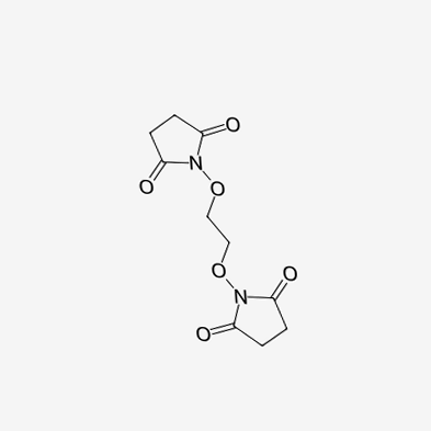 O=C1CCC(=O)N1OCCON1C(=O)CCC1=O